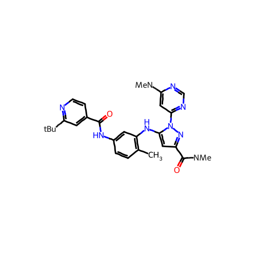 CNC(=O)c1cc(Nc2cc(NC(=O)c3ccnc(C(C)(C)C)c3)ccc2C)n(-c2cc(NC)ncn2)n1